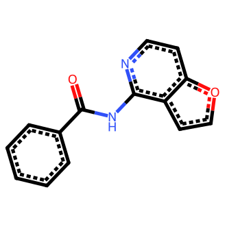 O=C(Nc1nccc2occc12)c1ccccc1